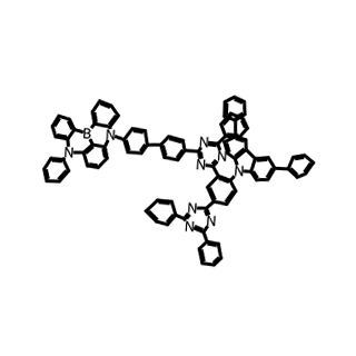 c1ccc(-c2ccc3c(c2)c2cc(-c4ccccc4)ccc2n3-c2ccc(-c3nc(-c4ccccc4)nc(-c4ccccc4)n3)cc2-c2nc(-c3ccccc3)nc(-c3ccc(-c4ccc(N5c6ccccc6B6c7ccccc7N(c7ccccc7)c7cccc5c76)cc4)cc3)n2)cc1